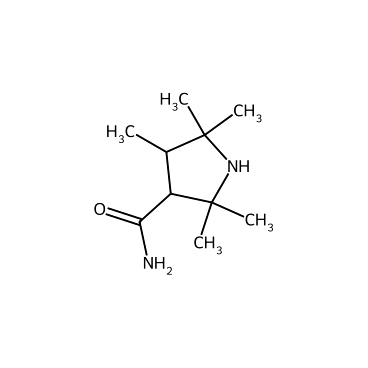 CC1C(C(N)=O)C(C)(C)NC1(C)C